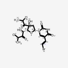 CC(Cl)C(=O)C(O)[C@H]1O[C@@H](n2cc(/C=C/Br)c(=O)[nH]c2=O)C[C@@]1(O)C(=O)C(C)Cl